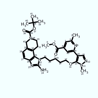 COC(=O)c1cc(C)nc(-c2cnn(C)c2OCCCCCn2c(N)nc3ccc4c(c32)CCN(C(=O)OC(C)(C)C)C4)c1